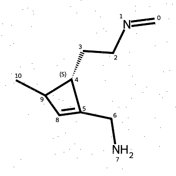 C=NCC[C@@H]1C(CN)=CC1C